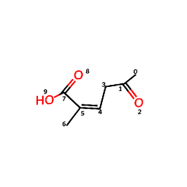 CC(=O)CC=C(C)C(=O)O